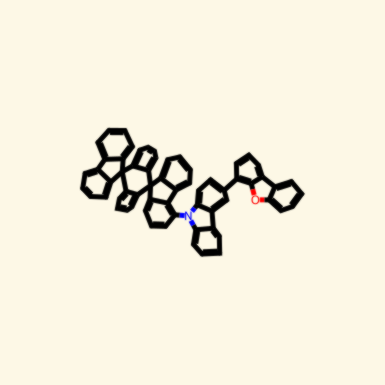 c1ccc2c(c1)-c1ccccc1C21c2ccccc2C2(c3ccccc3-c3c(-n4c5ccccc5c5cc(-c6cccc7c6oc6ccccc67)ccc54)cccc32)c2ccccc21